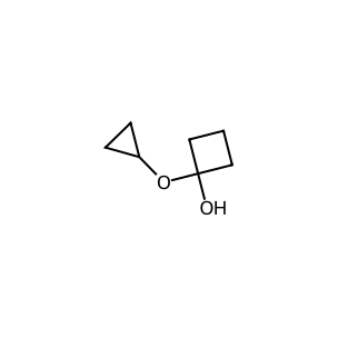 OC1(OC2CC2)CCC1